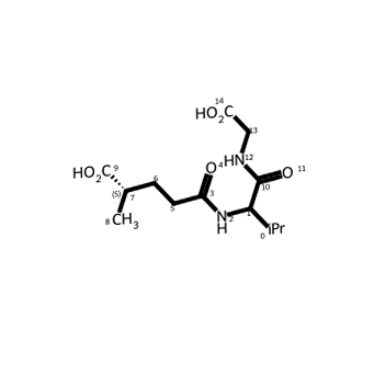 CC(C)C(NC(=O)CC[C@H](C)C(=O)O)C(=O)NCC(=O)O